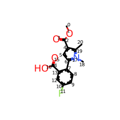 COC(=O)c1cc(-c2ccc(F)cc2C(=O)O)n(C)c1C